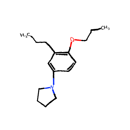 CCCOc1ccc(N2CCCC2)cc1CCC